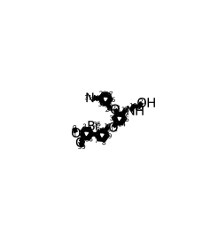 COc1ccc(-c2cccc(COc3ccc(CNCCO)c(OCc4cccc(C#N)c4)c3)c2Br)cc1OC